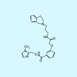 Cn1ccnc1CCNC(=O)c1cccc(OCC(=O)NCCCN2CCc3ccccc3C2)c1